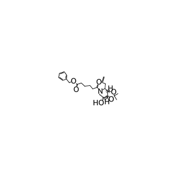 C=CCC1[C@@H]2OC(C)(C)O[C@@H]2[C@H](O)CN1C(=O)CCCCC(=O)OCc1ccccc1